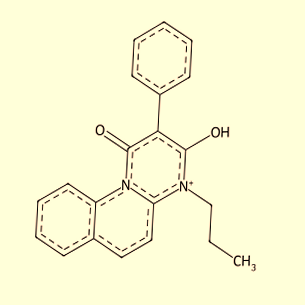 CCC[n+]1c(O)c(-c2ccccc2)c(=O)n2c3ccccc3ccc21